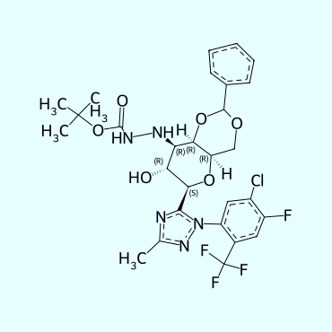 Cc1nc([C@@H]2O[C@@H]3COC(c4ccccc4)O[C@@H]3[C@H](NNC(=O)OC(C)(C)C)[C@H]2O)n(-c2cc(Cl)c(F)cc2C(F)(F)F)n1